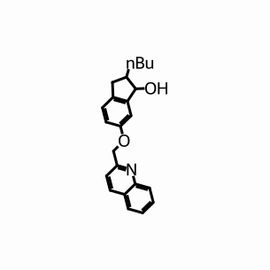 CCCCC1Cc2ccc(OCc3ccc4ccccc4n3)cc2C1O